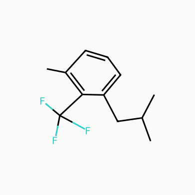 Cc1cccc(CC(C)C)c1C(F)(F)F